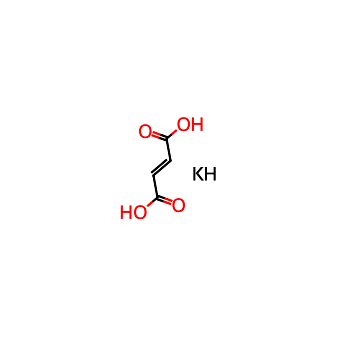 O=C(O)/C=C/C(=O)O.[KH]